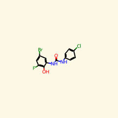 O=C(Nc1ccc(Cl)cc1)Nc1cc(Br)cc(F)c1O